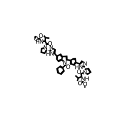 COC(=O)NC(C(=O)N1CCC[C@H]1c1ncc(-c2ccc3c(c2)cc2n3C(c3ccccc3)Oc3cc(-c4cnc([C@@H]5C=CCN5C(=O)[C@@H](NC(=O)OC)C(C)C)[nH]4)ccc3-2)[nH]1)C(C)C